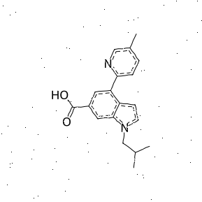 Cc1ccc(-c2cc(C(=O)O)cc3c2ccn3CC(C)C)nc1